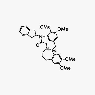 COc1ccc(C[C@H]2c3cc(OC)c(OC)cc3CCCN2CC(=O)NC2Cc3ccccc3C2)cc1OC